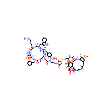 COc1cc2cc(c1Cl)N(C)CC[C@@]1(OC(=O)[C@H](C)N(C)C(=O)CCSC3CC(=O)N(CCCNC(=O)CC[C@H]4C(=O)N[C@@H](Cc5ccc(O)cc5)C(=O)N[C@H](Cc5c[nH]c6ccccc56)C(=O)N[C@@H](CCCCN)C(=O)N[C@@H]([C@@H](C)O)C(=O)N[C@@H](Cc5ccccc5)C(=O)N4C)C3=O)C3[C@H](OC(=O)N[C@@]3(O)[C@H](OC)/C=C/C=C(\C)C2)[C@@H](C)[C@@H]2O[C@]21C